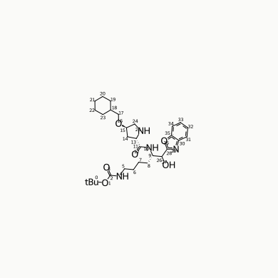 CC(C)(C)OC(=O)NCCCC[C@H](NC(=O)[C@@H]1C[C@@H](OCC2CCCCC2)CN1)C(O)c1nc2ccccc2o1